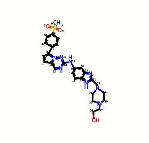 CS(=O)(=O)c1ccc(-c2ccc3cnc(Nc4ccc5[nH]c(CN6CCN(CCO)CC6)nc5c4)nn23)cc1